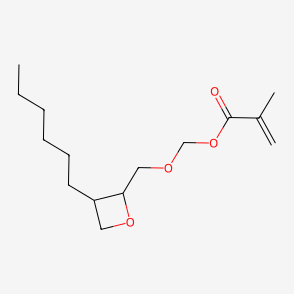 C=C(C)C(=O)OCOCC1OCC1CCCCCC